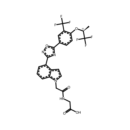 C[C@H](Oc1ccc(-c2nc(-c3cccc4c3ccn4CC(=O)NCC(=O)O)no2)cc1C(F)(F)F)C(F)(F)F